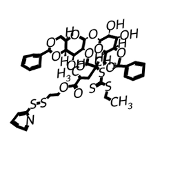 CCSC(=S)SC(C)(CC(C)C(=O)OCCSSc1ccccn1)C(=O)O[C@H]1[C@@H](O[C@H]2O[C@@H]3COC(c4ccccc4)O[C@H]3[C@H](O)[C@H]2O)O[C@@H]2COC(c3ccccc3)O[C@H]2[C@@H]1O